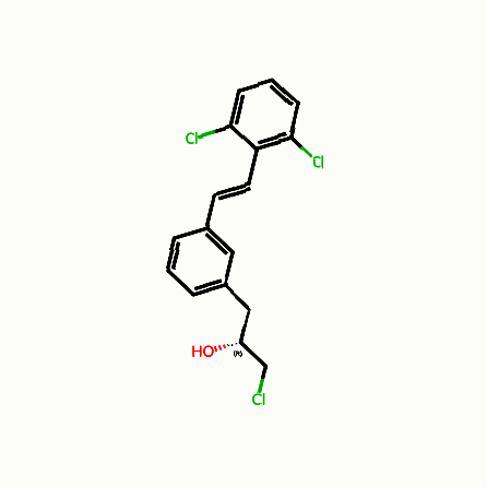 O[C@@H](CCl)Cc1cccc(C=Cc2c(Cl)cccc2Cl)c1